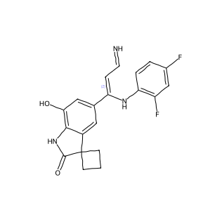 N=C/C=C(\Nc1ccc(F)cc1F)c1cc(O)c2c(c1)C1(CCC1)C(=O)N2